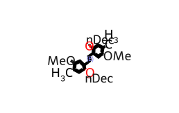 CCCCCCCCCCOc1cc(C)c(OC)cc1/C=C/c1cc(OC)c(C)cc1OCCCCCCCCCC